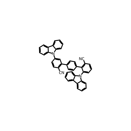 N#Cc1ccc(-n2c3ccccc3c3ccccc32)cc1-c1ccc(-c2c(C#N)cccc2-n2c3ccccc3c3ccccc32)cc1